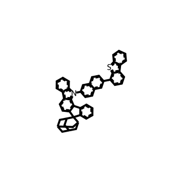 c1ccc2c(c1)-c1c(ccc3c4ccccc4n(-c4ccc5cc(-c6cccc7c6sc6ccccc67)ccc5c4)c13)C21C2CC3CC(C2)CC1C3